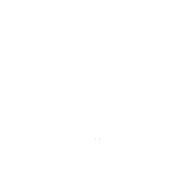 O=C(Cl)CCCC(=S)Cl